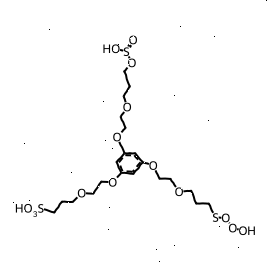 O=S(O)OCCCOCCOc1cc(OCCOCCCSOOO)cc(OCCOCCCS(=O)(=O)O)c1